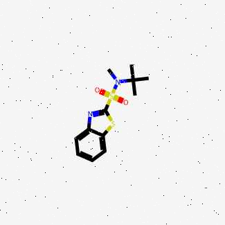 CN(C(C)(C)C)S(=O)(=O)c1nc2ccccc2s1